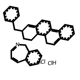 C1=Cc2ccccc2CN=C1.C1=c2ccc3c(c2CCC1Cc1ccccc1)CC=c1ccccc1=3.Cl.Cl